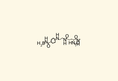 BNC(=O)c1ccc(NCCNC(=O)CC[C@H](NC(C)=O)C(=O)NC)cc1